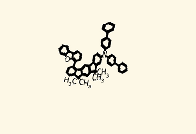 CC1(C)c2cc(N(c3ccc(-c4ccccc4)cc3)c3ccc(-c4ccccc4)cc3)ccc2-c2cc3c(cc21)C(C)(C)c1cccc(-c2cccc4c2oc2ccccc24)c1-3